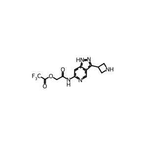 O=C(COC(=O)C(F)(F)F)Nc1cc2[nH]nc(C3CNC3)c2cn1